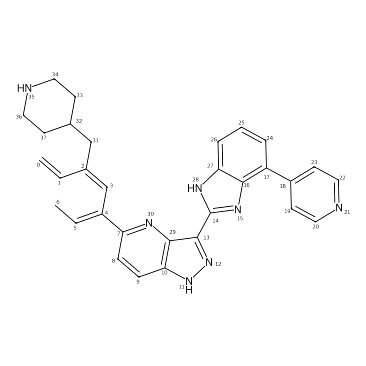 C=C/C(=C\C(=C/C)c1ccc2[nH]nc(-c3nc4c(-c5ccncc5)cccc4[nH]3)c2n1)CC1CCNCC1